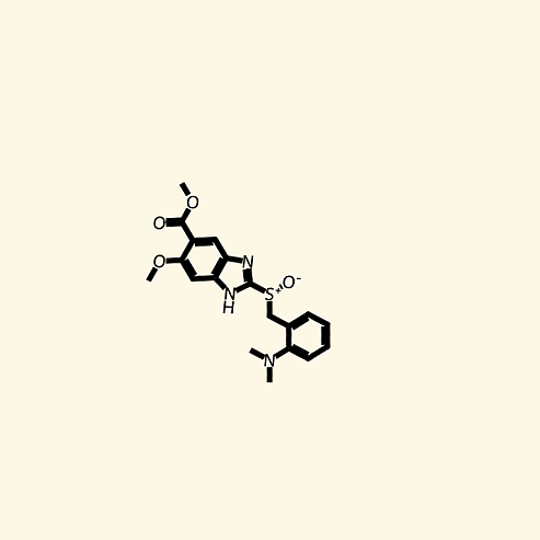 COC(=O)c1cc2nc([S+]([O-])Cc3ccccc3N(C)C)[nH]c2cc1OC